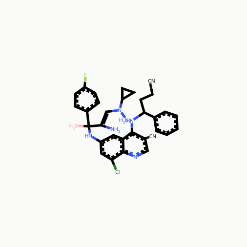 BC(Nc1cc(Cl)c2ncc(C#N)c(NC(CCC#N)c3ccccc3)c2c1)(/C(N)=C/N(N)C1CC1)c1ccc(F)cc1